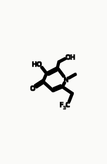 Cn1c(CC(F)(F)F)cc(=O)c(O)c1CO